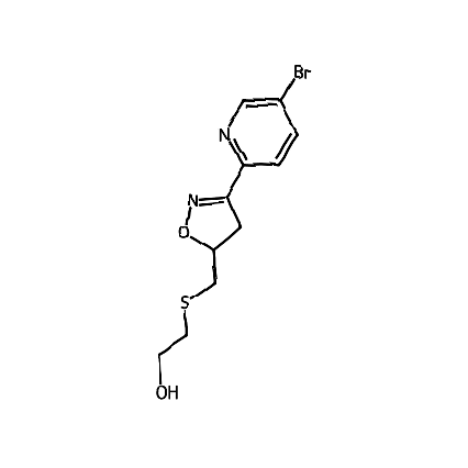 OCCSCC1CC(c2ccc(Br)cn2)=NO1